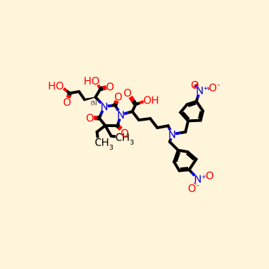 CCC1(CC)C(=O)N(C(CCCCN(Cc2ccc([N+](=O)[O-])cc2)Cc2ccc([N+](=O)[O-])cc2)C(=O)O)C(=O)N([C@@H](CCC(=O)O)C(=O)O)C1=O